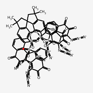 CC(C)(C)c1cc2c(c(OS(=O)(=O)c3cccc4c3C(N=[N+]=[N-])=C(N=[N+]=[N-])C(=O)C4=O)c1OS(=O)(=O)c1cccc3c1C(N=[N+]=[N-])=C(N=[N+]=[N-])C(=O)C3=O)C1(CC(C)(C)c3ccc(OS(=O)(=O)c4cccc5c4C(N=[N+]=[N-])=C(N=[N+]=[N-])C(=O)C5=O)c(OS(=O)(=O)c4cccc5c4C(N=[N+]=[N-])=C(N=[N+]=[N-])C(=O)C5=O)c31)CC2(C)C